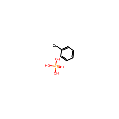 O=P(O)(O)O.[Cs][c]1ccccc1